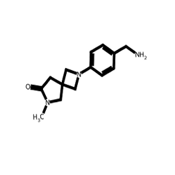 CN1CC2(CC1=O)CN(c1ccc(CN)cc1)C2